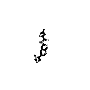 Cc1coc(C(=O)Nc2cc3cc(-c4cncn4C)cnc3cn2)n1